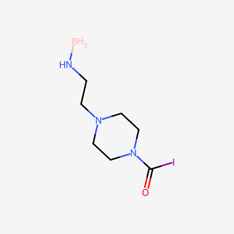 BNCCN1CCN(C(=O)I)CC1